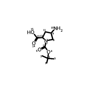 CC(C)(C)OC(=O)N1CC(N)CC1C(=O)O